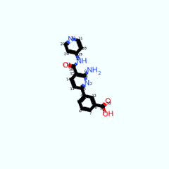 Nc1nc(-c2cccc(C(=O)O)c2)ccc1C(=O)Nc1ccncc1